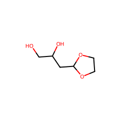 OCC(O)CC1OCCO1